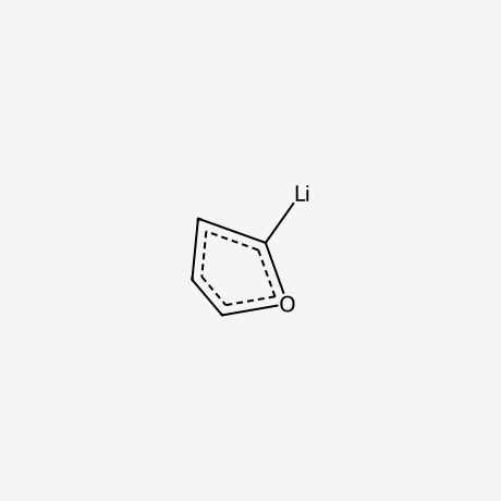 [Li][c]1ccco1